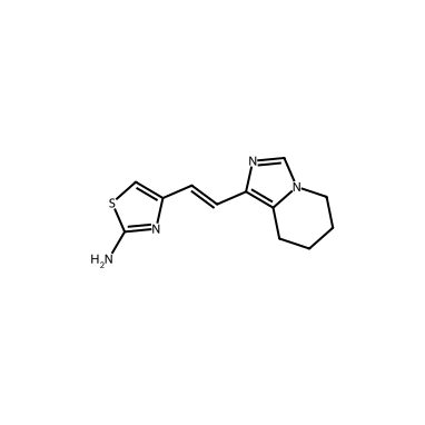 Nc1nc(C=Cc2ncn3c2CCCC3)cs1